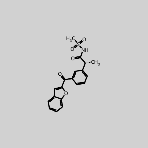 C[C@@H](C(=O)NS(C)(=O)=O)c1cccc(C(=O)c2cc3ccccc3o2)c1